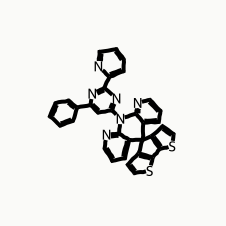 c1ccc(-c2cc(N3c4ncccc4C4(c5cccnc53)c3ccsc3-c3sccc34)nc(-c3ccccn3)n2)cc1